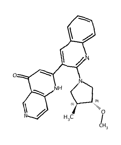 CO[C@H]1CN(c2nc3ccccc3cc2-c2cc(=O)c3cnccc3[nH]2)C[C@@H]1C